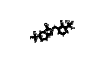 O=c1n(Cc2ccnc(C(F)(F)F)c2F)nc2n1C[C@H](C(F)(F)F)CC2